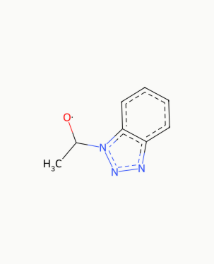 CC([O])n1nnc2ccccc21